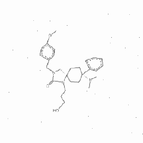 COc1ccc(CN2C[C@]3(CC[C@@](c4ccccc4)(N(C)C)CC3)N(CCCO)C2=O)cc1